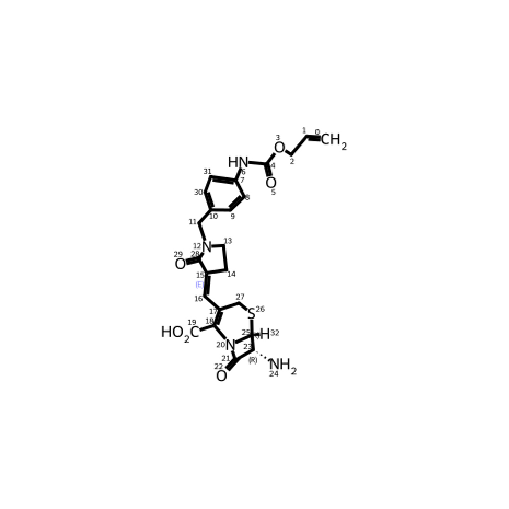 C=CCOC(=O)Nc1ccc(CN2CC/C(=C\C3=C(C(=O)O)N4C(=O)[C@@H](N)[C@H]4SC3)C2=O)cc1